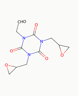 O=CCn1c(=O)n(CC2CO2)c(=O)n(CC2CO2)c1=O